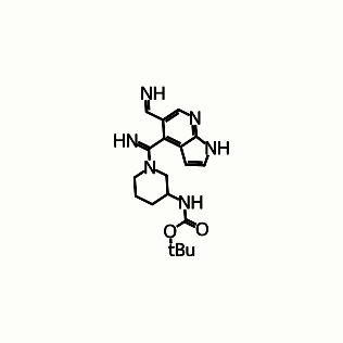 CC(C)(C)OC(=O)NC1CCCN(C(=N)c2c(C=N)cnc3[nH]ccc23)C1